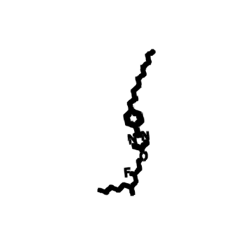 CCCCCCCCCCc1ccc(-c2ncc(OCCC(F)CC(C)CCCCC)cn2)cc1